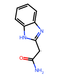 NC(=O)[CH]c1nc2ccccc2[nH]1